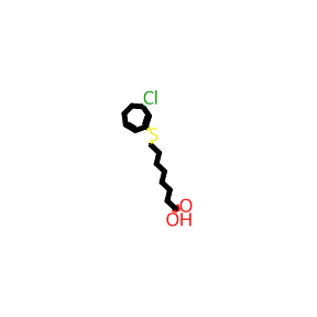 O=C(O)CCCCCCCSC1=CC(Cl)CCC=C1